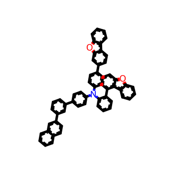 c1cc(-c2ccc(N(c3ccc(-c4ccc5c(c4)oc4ccccc45)cc3)c3ccccc3-c3cccc4oc5ccccc5c34)cc2)cc(-c2ccc3ccccc3c2)c1